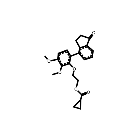 COc1ccc(-c2cccc3c2CCC3=O)c(OCCOC(=O)C2CC2)c1OC